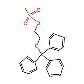 CS(=O)(=O)OCCOC(c1ccccc1)(c1ccccc1)c1ccccc1